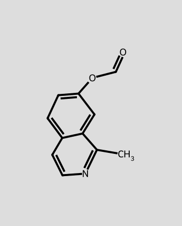 Cc1nccc2ccc(OC=O)cc12